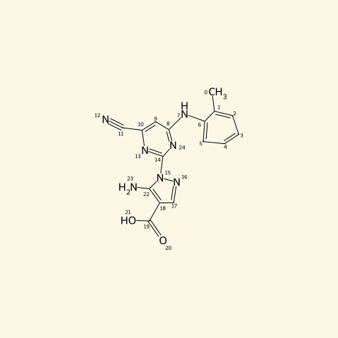 Cc1ccccc1Nc1cc(C#N)nc(-n2ncc(C(=O)O)c2N)n1